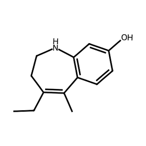 CCC1=C(C)c2ccc(O)cc2NCC1